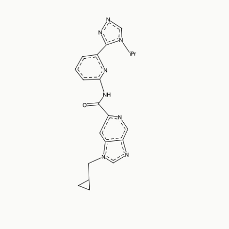 CC(C)n1cnnc1-c1cccc(NC(=O)c2cc3c(cn2)ncn3CC2CC2)n1